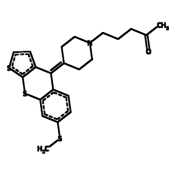 CSc1ccc2c(c1)Sc1sccc1C2=C1CCN(CCCC(C)=O)CC1